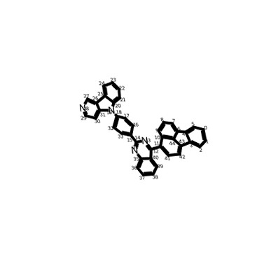 c1ccc2c(c1)-c1cccc3c(-c4nc(-c5ccc(-n6c7ccccc7c7cnccc76)cc5)nc5ccccc45)ccc-2c13